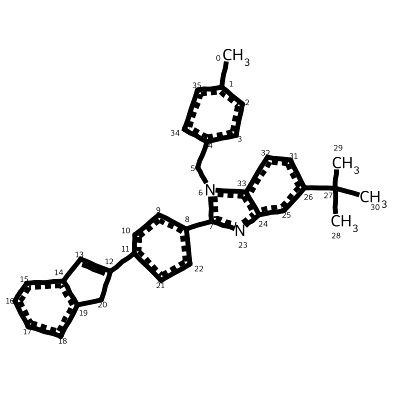 Cc1ccc(Cn2c(-c3ccc(C4=Cc5ccccc5C4)cc3)nc3cc(C(C)(C)C)ccc32)cc1